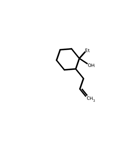 C=CCC1CCCCC1(O)CC